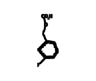 O=C(O)OCc1cccc(F)c1